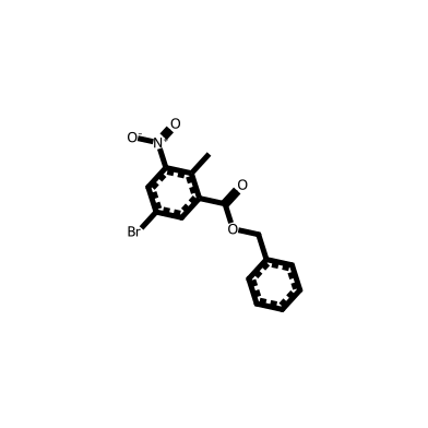 Cc1c(C(=O)OCc2ccccc2)cc(Br)cc1[N+](=O)[O-]